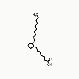 CCCCCCCCSC[C@@H]1CSC[C@@H]1CCCCCCC(=O)O